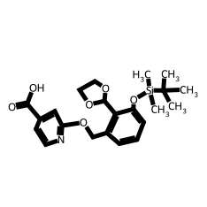 CC(C)(C)[Si](C)(C)Oc1cccc(COc2cc(C(=O)O)ccn2)c1C1OCCO1